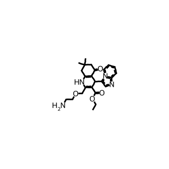 CCOC(=O)C1=C(COCCN)NC2=C(C(=O)CC(C)(C)C2)C1c1cnc2ccccn12